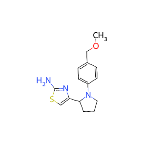 COCc1ccc(N2CCCC2c2csc(N)n2)cc1